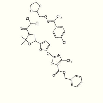 CC1(C)OC(c2ccco2)CN1C(=O)C(Cl)Cl.FC(F)(F)/C(=N\OCC1OCCO1)c1ccc(Cl)cc1.O=C(OCc1ccccc1)c1sc(Cl)nc1C(F)(F)F